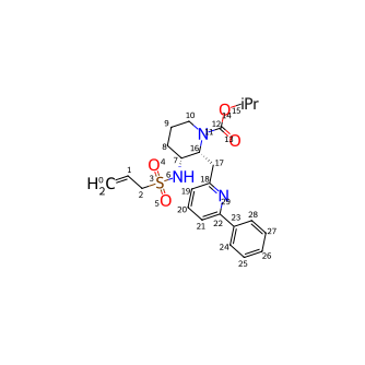 C=CCS(=O)(=O)N[C@@H]1CCCN(C(=O)OC(C)C)[C@@H]1Cc1cccc(-c2ccccc2)n1